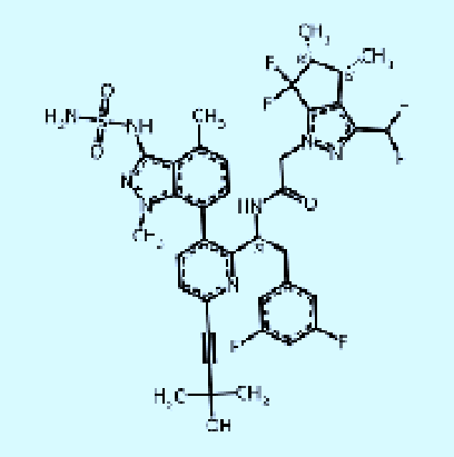 Cc1ccc(-c2ccc(C#CC(C)(C)O)nc2[C@H](Cc2cc(F)cc(F)c2)NC(=O)Cn2nc(C(F)F)c3c2C(F)(F)[C@H](C)[C@@H]3C)c2c1c(NS(N)(=O)=O)nn2C